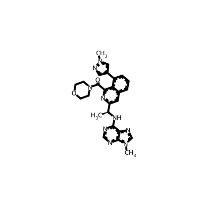 C[C@H](Nc1ncnc2c1ncn2C)c1cc2cccc(-c3cnn(C)c3)c2c(C(=O)N2CCOCC2)n1